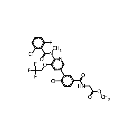 COC(=O)CNC(=O)c1ccc(Cl)c(-c2cnc(N(C)C(=O)c3c(F)cccc3Cl)c(OCC(F)(F)F)c2)c1